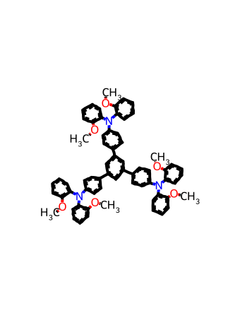 COc1ccccc1N(c1ccc(-c2cc(-c3ccc(N(c4ccccc4OC)c4ccccc4OC)cc3)cc(-c3ccc(N(c4ccccc4OC)c4ccccc4OC)cc3)c2)cc1)c1ccccc1OC